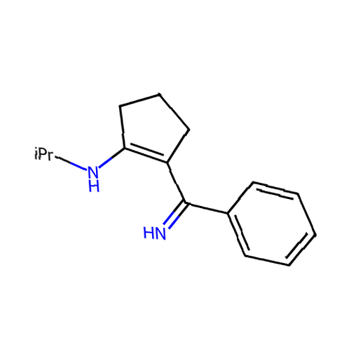 CC(C)NC1=C(C(=N)c2ccccc2)CCC1